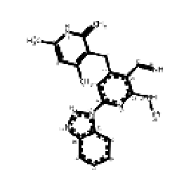 C=C1NC(C)=CC(C)=C1Cc1cc(-n2nnc3ccccc32)nc(NC(C)C)c1C=N